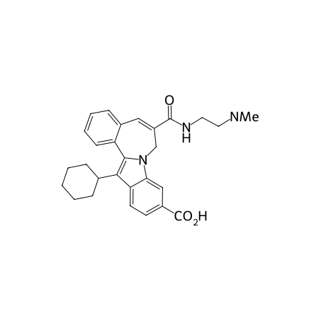 CNCCNC(=O)C1=Cc2ccccc2-c2c(C3CCCCC3)c3ccc(C(=O)O)cc3n2C1